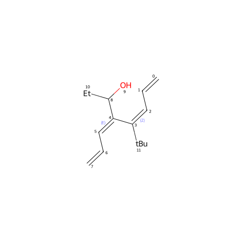 C=C/C=C(\C(=C/C=C)C(O)CC)C(C)(C)C